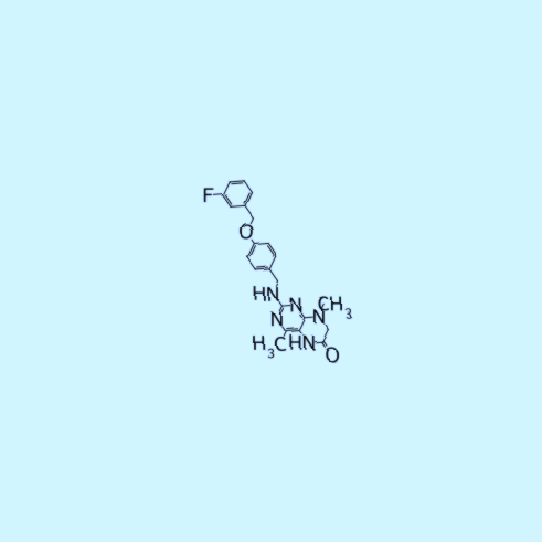 Cc1nc(NCc2ccc(OCc3cccc(F)c3)cc2)nc2c1NC(=O)CN2C